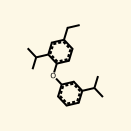 CCc1ccc(Oc2cccc(C(C)C)c2)c(C(C)C)c1